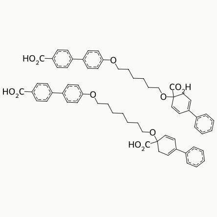 O=C(O)c1ccc(-c2ccc(OCCCCCCCOC3(C(=O)O)C=CC(c4ccccc4)=CC3)cc2)cc1.O=C(O)c1ccc(-c2ccc(OCCCCCCOC3(C(=O)O)C=CC(c4ccccc4)=CC3)cc2)cc1